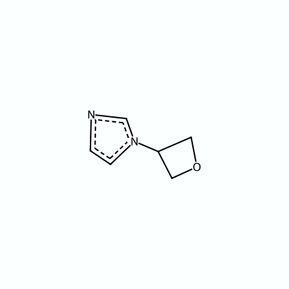 c1cn(C2COC2)cn1